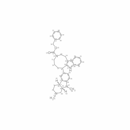 CN1CC[C@@H]2c3cc(C4CCCN(C(=O)OCc5ccccc5)CCc5c4[nH]c4ccccc54)ccc3N(C)[C@@H]2C1